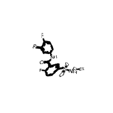 CCONS(=O)(=O)c1ccc(F)c(C(=O)Nc2ccc(F)c(F)c2)c1